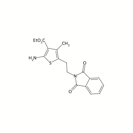 CCOC(=O)c1c(N)sc(CCN2C(=O)c3ccccc3C2=O)c1C